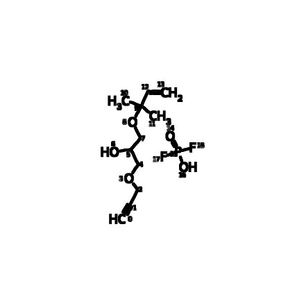 C#CCOCC(O)COC(C)(C)C=C.O=P(O)(F)F